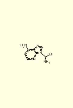 CCC(N)n1nnc2c(N)ccnc21